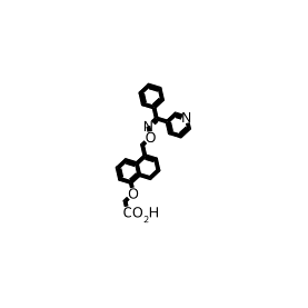 O=C(O)COc1cccc2c1CCC=C2CO/N=C(/c1ccccc1)c1cccnc1